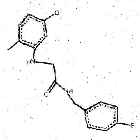 Cc1ccc(Cl)cc1NCC(=O)NCc1ccc(F)cc1